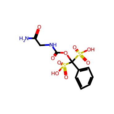 NC(=O)CNC(=O)OC(c1ccccc1)(S(=O)(=O)O)S(=O)(=O)O